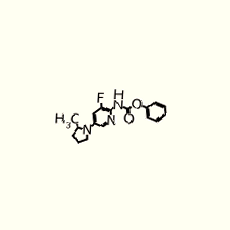 C[C@@H]1CCCN1c1cnc(NC(=O)Oc2ccccc2)c(F)c1